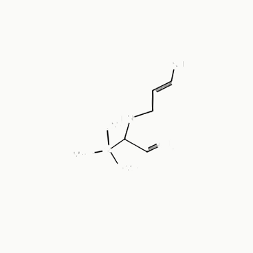 C=CC(NCC=CN)[Si](OC)(OC)OC